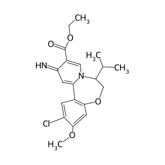 CCOC(=O)c1cn2c(cc1=N)-c1cc(Cl)c(OC)cc1OCC2C(C)C